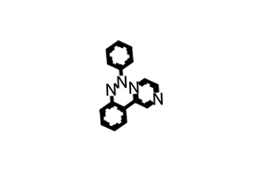 c1ccc(N=Nc2ccccc2-c2cnccn2)cc1